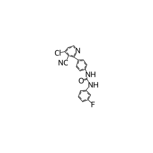 N#Cc1c(Cl)ccnc1-c1ccc(NC(=O)Nc2cccc(F)c2)cc1